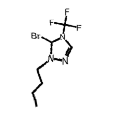 CCCCN1N=CN(C(F)(F)F)C1Br